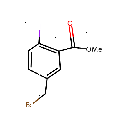 COC(=O)c1cc(CBr)ccc1I